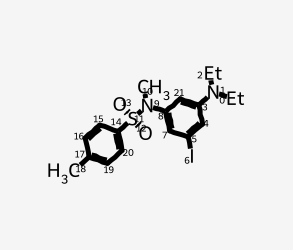 CCN(CC)c1cc(I)cc(N(C)S(=O)(=O)c2ccc(C)cc2)c1